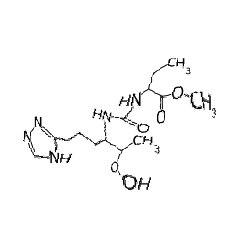 CCC(NC(=O)NC(CCc1nnc[nH]1)C(C)OO)C(=O)OC